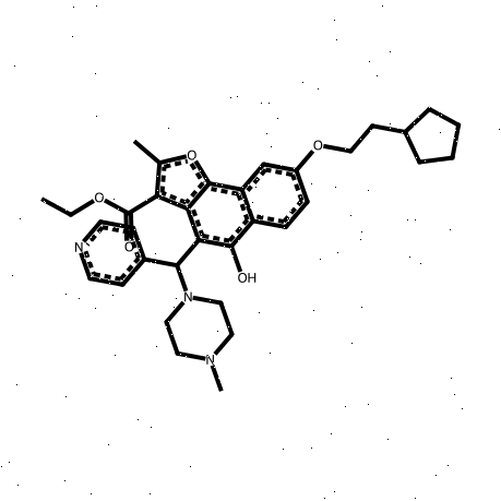 CCOC(=O)c1c(C)oc2c1c(C(c1ccncc1)N1CCN(C)CC1)c(O)c1ccc(OCCC3CCCC3)cc12